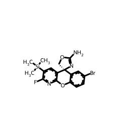 C[Si](C)(C)c1cc2c(nc1F)Oc1ccc(Br)cc1[C@@]21COC(N)=N1